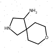 NC1CNCC12CCOCC2